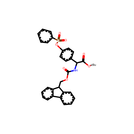 CC(C)(C)OC(=O)C(NC(=O)OCC1c2ccccc2-c2ccccc21)c1ccc(OS(=O)(=O)c2ccccc2)cc1